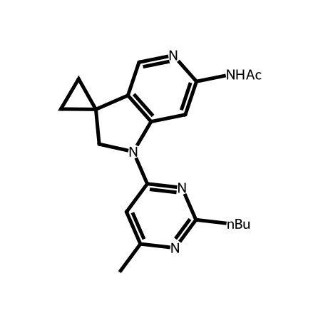 CCCCc1nc(C)cc(N2CC3(CC3)c3cnc(NC(C)=O)cc32)n1